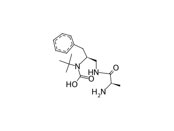 C[C@@H](N)C(=O)NC[C@H](Cc1ccccc1)N(C(=O)O)C(C)(C)C